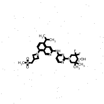 CC(C)c1ccc(N2CC(CS(C)(=O)=O)C2)c2cnc(Nc3ccnc(N4CC(C)(C)[C@@H](O)C(F)(F)C4)n3)cc12